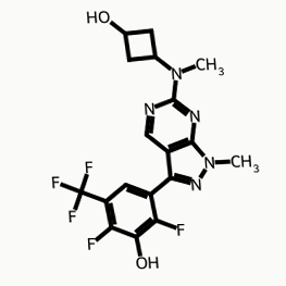 CN(c1ncc2c(-c3cc(C(F)(F)F)c(F)c(O)c3F)nn(C)c2n1)C1CC(O)C1